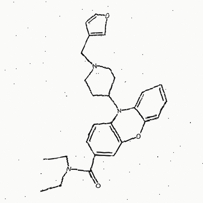 CCN(CC)C(=O)c1ccc2c(c1)Oc1ccccc1N2C1CCN(Cc2ccoc2)CC1